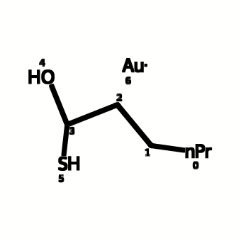 CCCCCC(O)S.[Au]